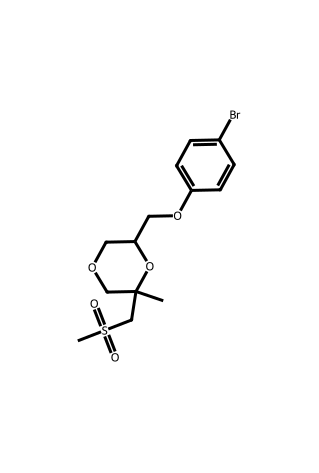 CC1(CS(C)(=O)=O)COCC(COc2ccc(Br)cc2)O1